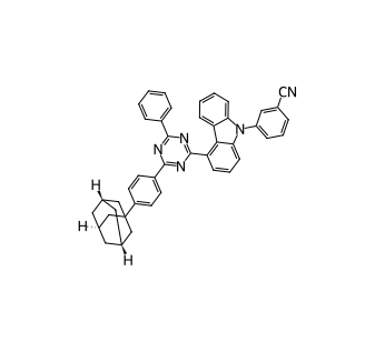 N#Cc1cccc(-n2c3ccccc3c3c(-c4nc(-c5ccccc5)nc(-c5ccc(C67C[C@H]8C[C@@H](C6)C[C@@H](C7)C8)cc5)n4)cccc32)c1